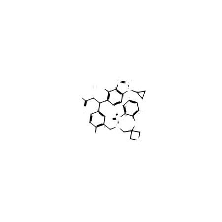 Cc1ccc(C(CC(=O)O)c2ccc3c(nnn3C3CC3)c2C)cc1CN1CC2(COC2)Oc2ccccc2S1(=O)=O